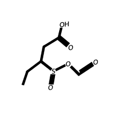 CCC(CC(=O)O)S(=O)OC=O